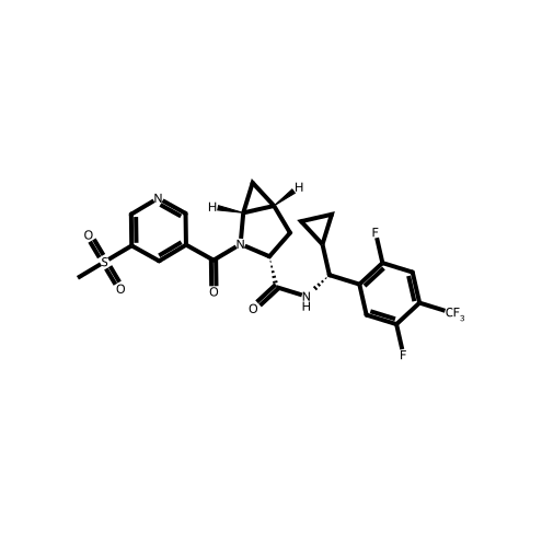 CS(=O)(=O)c1cncc(C(=O)N2[C@@H](C(=O)N[C@@H](c3cc(F)c(C(F)(F)F)cc3F)C3CC3)C[C@H]3C[C@H]32)c1